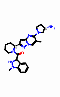 Cc1cn2nc([C@@H]3CCCCN3C(=O)C3NN(C)c4ccccc43)cc2nc1N1CC[C@H](N)C1